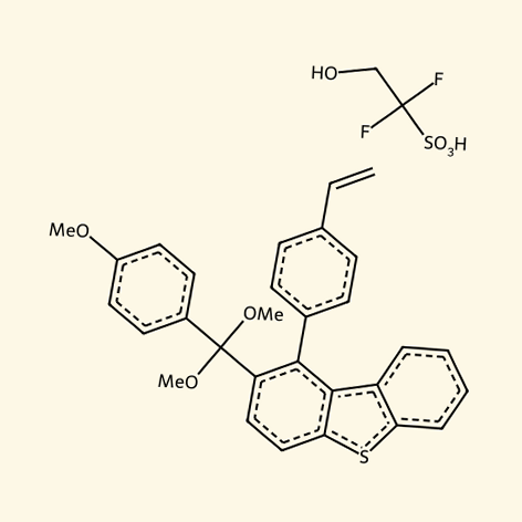 C=Cc1ccc(-c2c(C(OC)(OC)c3ccc(OC)cc3)ccc3sc4ccccc4c23)cc1.O=S(=O)(O)C(F)(F)CO